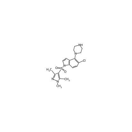 Cc1nn(C)c(C)c1S(=O)(=O)n1ccc2c(N3CCNCC3)c(Cl)ccc21